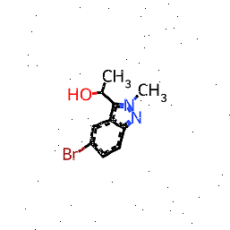 CC(O)c1c2cc(Br)ccc2nn1C